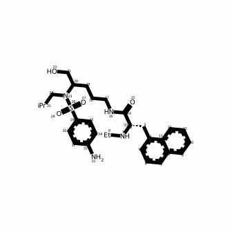 CCN[C@@H](Cc1cccc2ccccc12)C(=O)NCCCC(CO)N(CC(C)C)S(=O)(=O)c1ccc(N)cc1